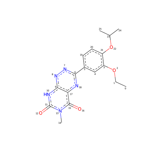 CCOc1cc(-c2nnc3[nH]c(=O)n(C)c(=O)c3n2)ccc1OC(C)C